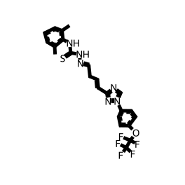 Cc1cccc(C)c1NC(=S)N/N=C/C/C=C/c1ncn(-c2ccc(OC(F)(F)C(F)(F)F)cc2)n1